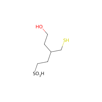 O=S(=O)(O)CCC(CS)CCO